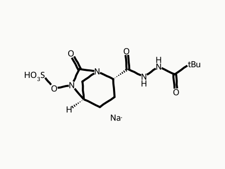 CC(C)(C)C(=O)NNC(=O)[C@@H]1CC[C@@H]2CN1C(=O)N2OS(=O)(=O)O.[Na]